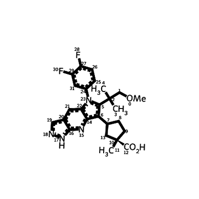 COCC(C)(C)c1c(C2CC[C@@](C)(C(=O)O)C2)c2nc3[nH]ncc3cc2n1-c1ccc(F)c(F)c1